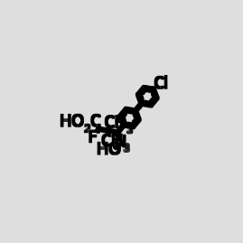 CC(C)(/C(=N\O)c1ccc(-c2ccc(Cl)cc2)cc1)C(F)C(=O)O